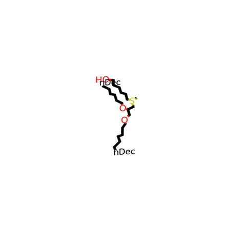 CCCCCCCCCCCCCCCCOCC(C[S+](C)CCCCCCO)OCCCCCCCCCCCCCCCC